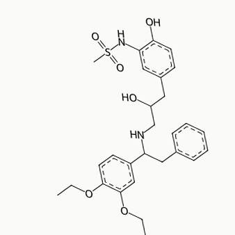 CCOc1ccc(C(Cc2ccccc2)NCC(O)Cc2ccc(O)c(NS(C)(=O)=O)c2)cc1OCC